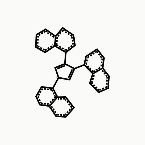 C1=C(c2cccc3ccccc23)C(c2cccc3ccccc23)=C[C]1c1cccc2ccccc12